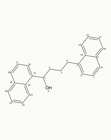 OC(CCCc1cccc2ccccc12)c1cccc2ccccc12